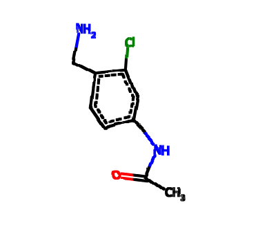 CC(=O)Nc1ccc(CN)c(Cl)c1